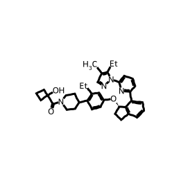 CCc1cc(O[C@H]2CCc3cccc(-c4cccc(-n5ncc(C)c5CC)n4)c32)ccc1C1CCN(C(=O)C2(O)CCC2)CC1